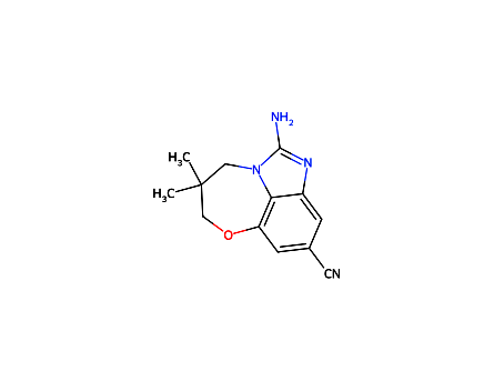 CC1(C)COc2cc(C#N)cc3nc(N)n(c23)C1